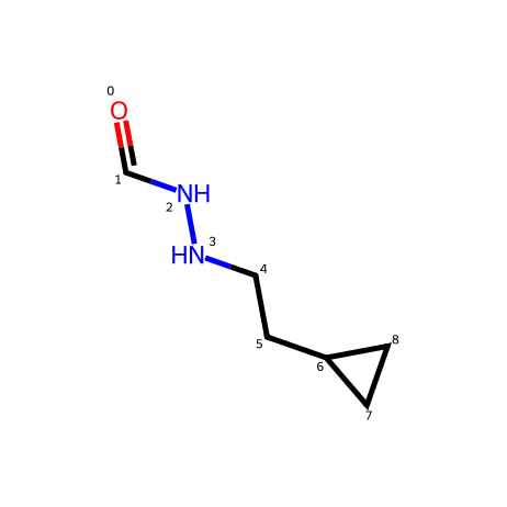 O=CNNCCC1CC1